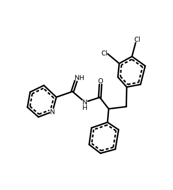 N=C(NC(=O)C(Cc1ccc(Cl)c(Cl)c1)c1ccccc1)c1ccccn1